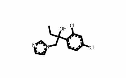 CCC(O)(Cn1ccnc1)c1ccc(Cl)cc1Cl